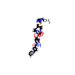 Cn1ccnc1SCC1CCN(C(=O)Oc2ccc(NC(=O)c3ccc(CN4CCCCC4)cc3)nc2)CC1